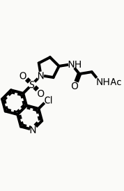 CC(=O)NCC(=O)NC1CCN(S(=O)(=O)c2cccc3cncc(Cl)c23)C1